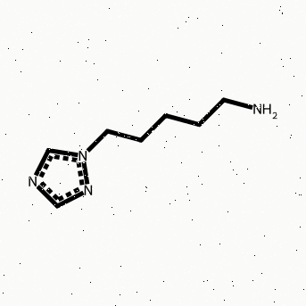 NCCCCCn1cncn1